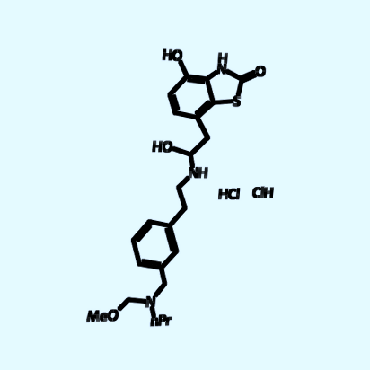 CCCN(COC)Cc1cccc(CCNC(O)Cc2ccc(O)c3[nH]c(=O)sc23)c1.Cl.Cl